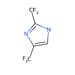 FC(F)(F)C1=C[N]C(C(F)(F)F)=N1